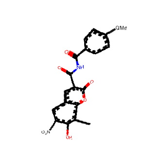 COc1ccc(C(=O)NC(=O)c2cc3cc([N+](=O)[O-])c(O)c(C)c3oc2=O)cc1